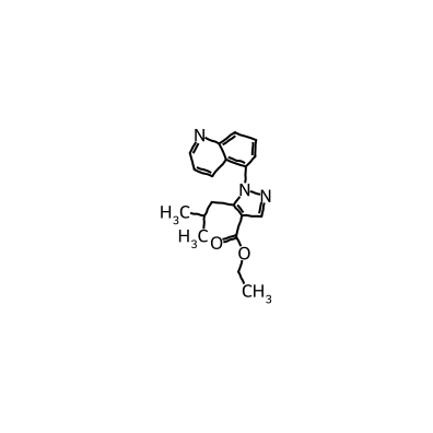 CCOC(=O)c1cnn(-c2cccc3ncccc23)c1CC(C)C